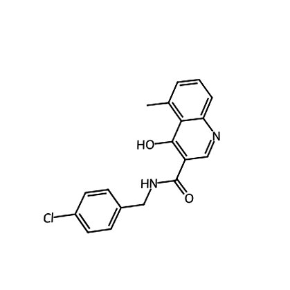 Cc1cccc2ncc(C(=O)NCc3ccc(Cl)cc3)c(O)c12